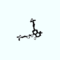 CC1(C)CCC(=O)c2c(OCOCC[Si](C)(C)C)cc(C#C[Si](C)(C)C)cc21